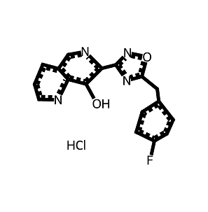 Cl.Oc1c(-c2noc(Cc3ccc(F)cc3)n2)ncc2cccnc12